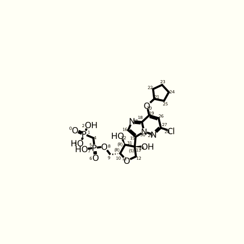 O=P(O)(O)CP(=O)(O)OC[C@H]1OC[C@@](O)(c2cnc3c(OC4CCCC4)cc(Cl)nn23)[C@@H]1O